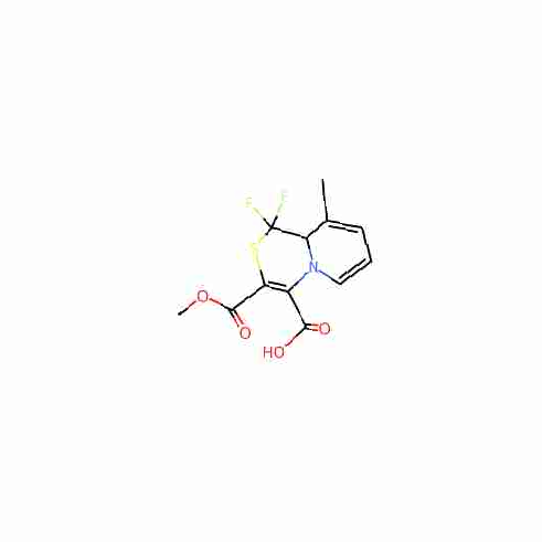 COC(=O)C1=C(C(=O)O)N2C=CC=C(C)C2C(F)(F)S1